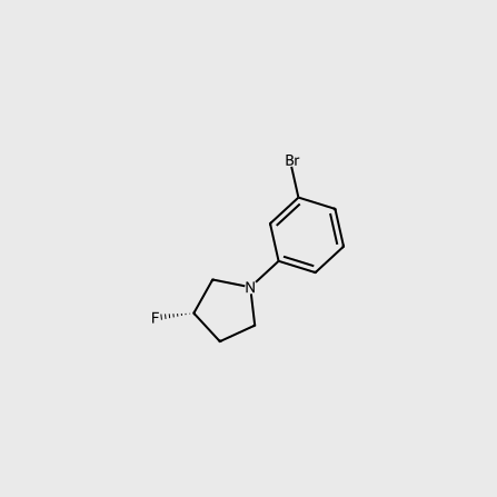 F[C@H]1CCN(c2cccc(Br)c2)C1